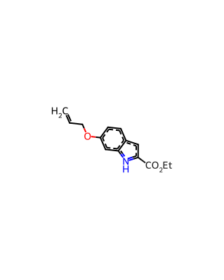 C=CCOc1ccc2cc(C(=O)OCC)[nH]c2c1